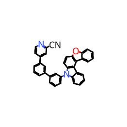 N#Cc1cc(-c2cccc(-c3cccc(-n4c5ccccc5c5c6c(ccc54)oc4ccccc46)c3)c2)ccn1